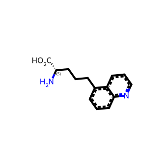 N[C@@H](CCCc1cccc2ncccc12)C(=O)O